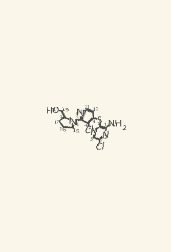 Nc1nc(Cl)cnc1Sc1ccnc(N2CCCC2CO)c1Cl